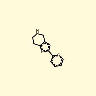 c1ccc(-c2nc3c(s2)CNCC3)nc1